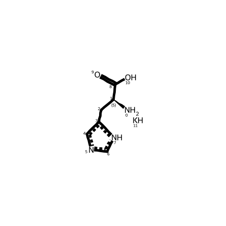 N[C@@H](Cc1cnc[nH]1)C(=O)O.[KH]